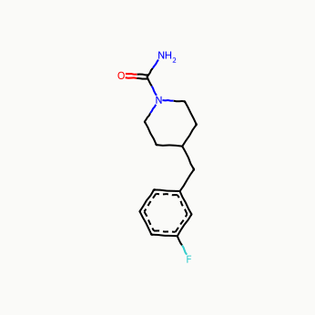 NC(=O)N1CCC(Cc2cccc(F)c2)CC1